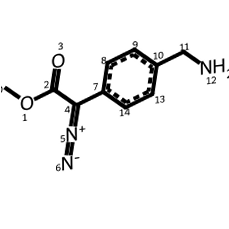 COC(=O)C(=[N+]=[N-])c1ccc(CN)cc1